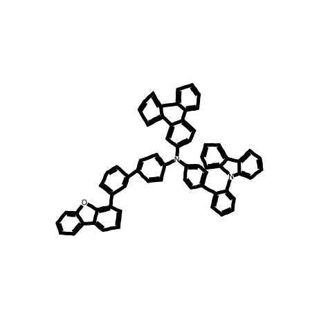 c1cc(-c2ccc(N(c3ccc(-c4ccccc4-n4c5ccccc5c5ccccc54)cc3)c3ccc4c5ccccc5c5ccccc5c4c3)cc2)cc(-c2cccc3c2oc2ccccc23)c1